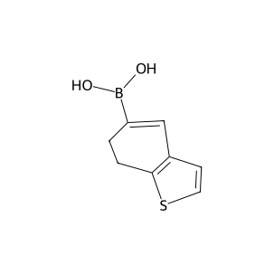 OB(O)C1=Cc2ccsc2CC1